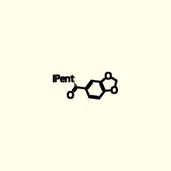 CCC[C@@H](C)C(=O)c1ccc2c(c1)OCO2